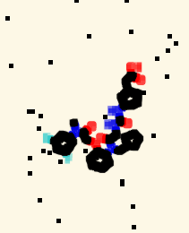 CN(C(=O)COc1ccccc1N(CC1CCCC1)C(=O)CNC(=O)Nc1cccc(CC(=O)O)c1)c1cc(F)cc(F)c1